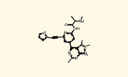 CNC(C)C(=O)Nc1cc(-c2nc(C)nc3nn(C)c(C)c23)cc(C#Cc2cccs2)n1